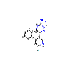 Nc1nnc(-c2ccc(F)nc2)c(-c2ccccc2)n1